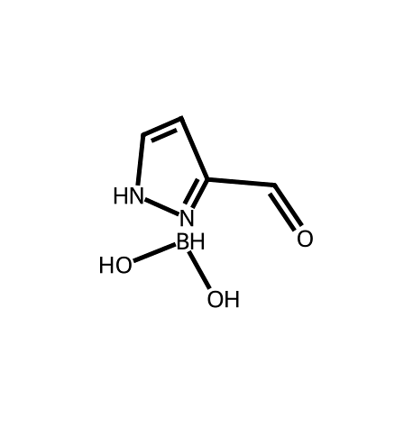 O=Cc1cc[nH]n1.OBO